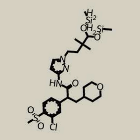 C[SiH2]OC(O[SiH2]C)C(C)(C)CCn1ccc(NC(=O)C(CC2CCOCC2)c2ccc(S(C)(=O)=O)c(Cl)c2)n1